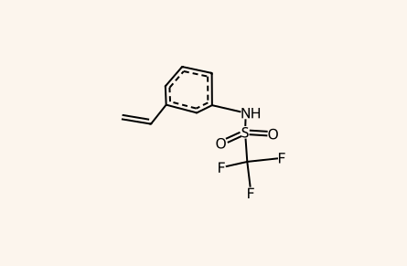 C=Cc1cccc(NS(=O)(=O)C(F)(F)F)c1